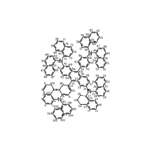 C1=Cc2cccc(N(C3=CC=C(c4c5cc(N(C6=c7ccccc7=CCC6)c6cccc7ccccc67)ccc5c(-c5ccc(N(c6cccc7ccccc67)c6cccc7ccccc67)cc5)c5cc(N(c6cccc7ccccc67)c6cccc7ccccc67)ccc45)CC3)c3cccc4ccccc34)c2CC1